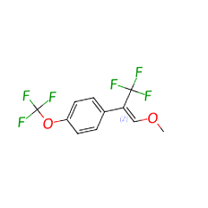 CO/C=C(/c1ccc(OC(F)(F)F)cc1)C(F)(F)F